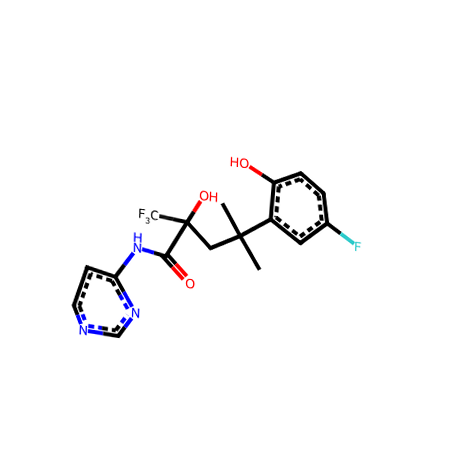 CC(C)(CC(O)(C(=O)Nc1ccncn1)C(F)(F)F)c1cc(F)ccc1O